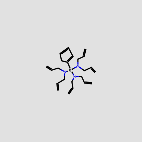 C=CC[N](CC=C)[Hf]([C]1=CC=CC1)([N](CC=C)CC=C)[N](CC=C)CC=C